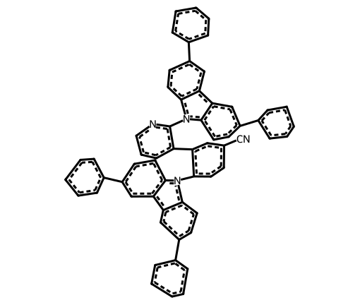 N#Cc1ccc(-n2c3ccc(-c4ccccc4)cc3c3cc(-c4ccccc4)ccc32)c(-c2cccnc2-n2c3ccc(-c4ccccc4)cc3c3cc(-c4ccccc4)ccc32)c1